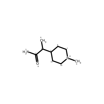 CC(C(N)=O)C1CCN(C)CC1